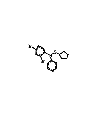 Brc1ccc(N(SC2CCCC2)c2ccccc2)c(Br)c1